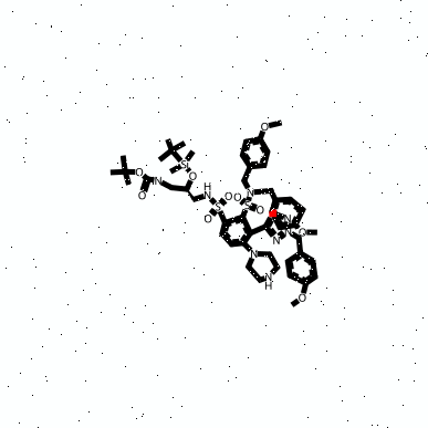 COc1ccc(CN(Cc2ccc(OC)cc2)S(=O)(=O)c2c(S(=O)(=O)NC[C@@H](CNC(=O)OC(C)(C)C)O[Si](C)(C)C(C)(C)C)ccc(N3CCNCC3)c2-c2nnn(Cc3ccc(OC)cc3)n2)cc1